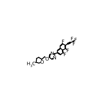 CC1CCC(COc2cnc(-c3cc(F)c4c(F)c(C#CC(F)(F)F)c(F)cc4c3)nc2)OC1